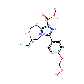 COCOc1ccc(-c2nc(C(=O)OC)c3n2CC(CF)OCC3)cc1